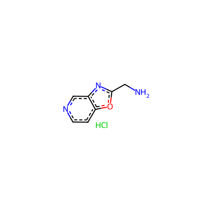 Cl.NCc1nc2cnccc2o1